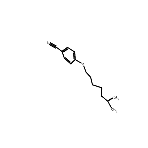 CC(C)CCCCCOc1ccc(C#N)cc1